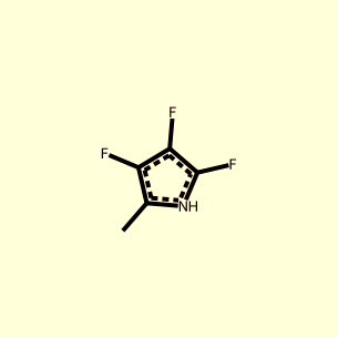 Cc1[nH]c(F)c(F)c1F